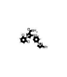 CC(C)c1ccn(-c2ccc(Nc3cn(-c4c(Cl)cccc4Cl)nc3C(N)=O)cc2)n1